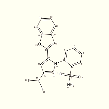 NS(=O)(=O)c1ccccc1-n1nc(C(F)F)cc1-c1cc2ccccc2o1